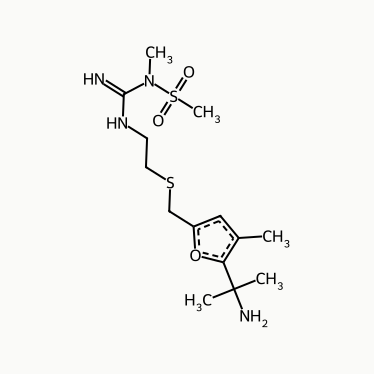 Cc1cc(CSCCNC(=N)N(C)S(C)(=O)=O)oc1C(C)(C)N